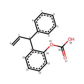 C=CC(c1ccccc1)c1ccccc1OC(=O)O